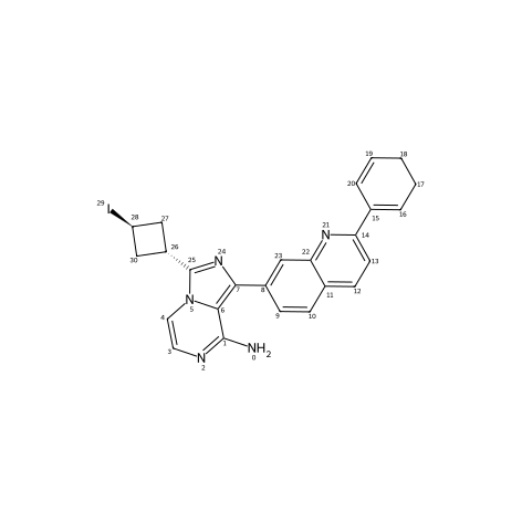 Nc1nccn2c1c(-c1ccc3ccc(C4=CCCC=C4)nc3c1)nc2[C@H]1C[C@H](I)C1